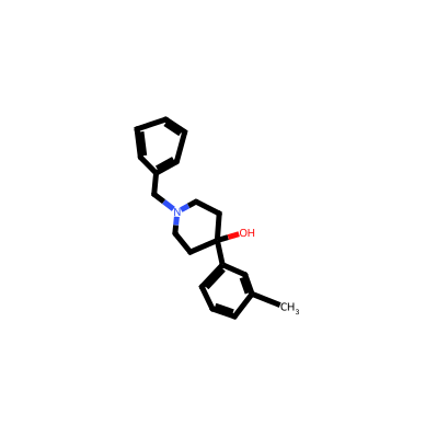 Cc1cccc(C2(O)CCN(Cc3ccccc3)CC2)c1